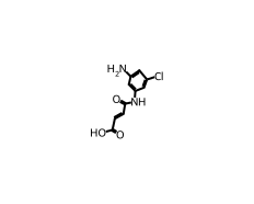 Nc1cc(Cl)cc(NC(=O)/C=C/C(=O)O)c1